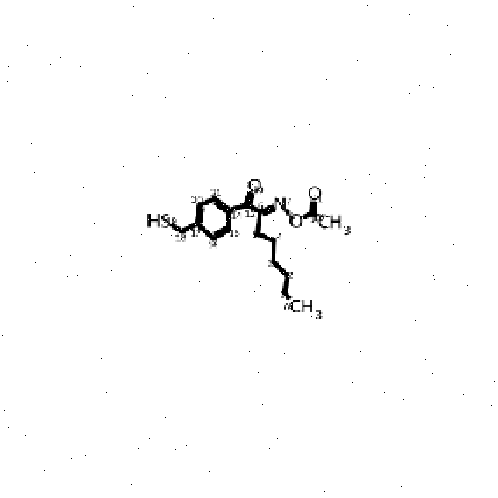 CCCCCC/C(=N\OC(C)=O)C(=O)c1ccc(CS)cc1